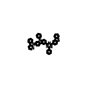 c1ccc(-c2nc(-c3ccc4sc5ccccc5c4c3)nc(-c3ccc4c(c3)c3ccc(-n5c6ccccc6c6cccnc65)cc3n4-c3ccccc3)n2)cc1